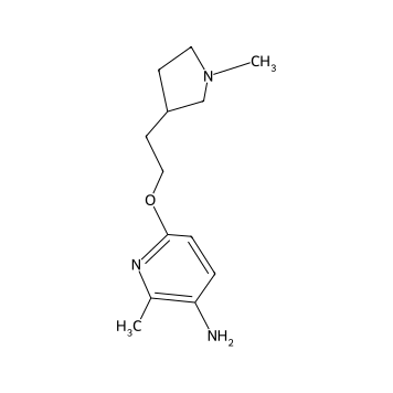 Cc1nc(OCCC2CCN(C)C2)ccc1N